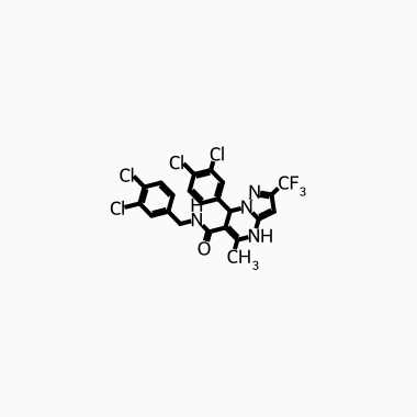 CC1=C(C(=O)NCc2ccc(Cl)c(Cl)c2)C(c2ccc(Cl)c(Cl)c2)n2nc(C(F)(F)F)cc2N1